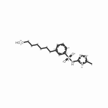 Cc1nsc(NS(=O)(=O)c2cccc(CCCCCCC(=O)O)c2)n1